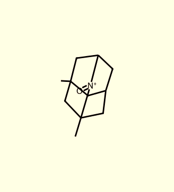 CC12CC3CC(C1)[N+](=O)C(C)(C3)C2